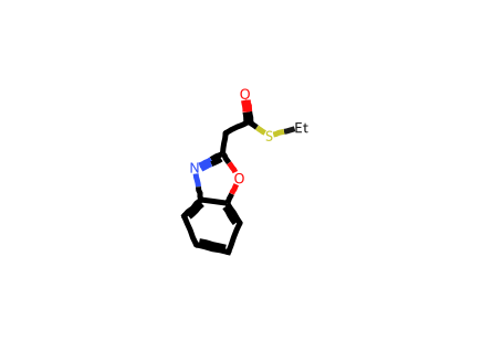 CCSC(=O)Cc1nc2ccccc2o1